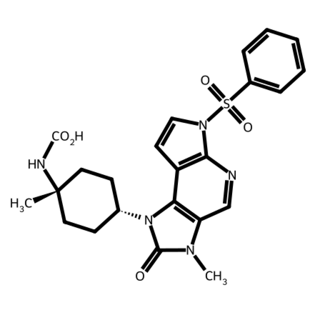 Cn1c(=O)n([C@H]2CC[C@@](C)(NC(=O)O)CC2)c2c3ccn(S(=O)(=O)c4ccccc4)c3ncc21